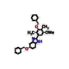 COc1cc(-c2nc3cc(OCc4ccccc4)ccc3[nH]2)c(C)c(OCc2ccccc2)c1C